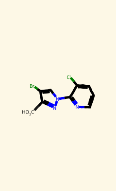 O=C(O)c1nn(-c2ncccc2Cl)cc1Br